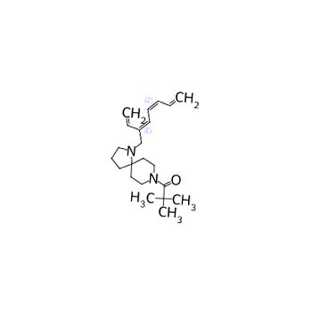 C=C/C=C\C=C(/C=C)CN1CCCC12CCN(C(=O)C(C)(C)C)CC2